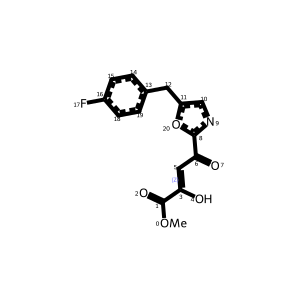 COC(=O)/C(O)=C/C(=O)c1ncc(Cc2ccc(F)cc2)o1